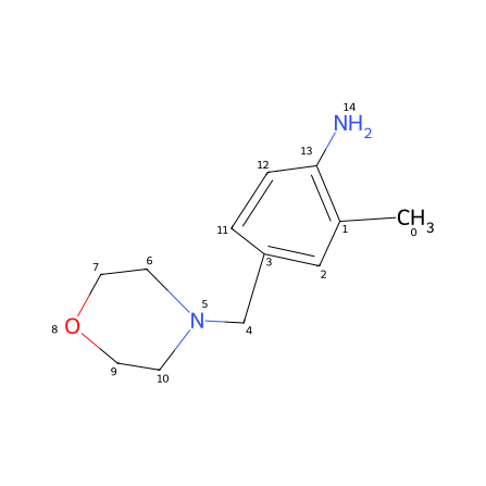 Cc1cc(CN2CCOCC2)ccc1N